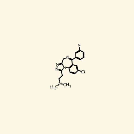 CN(C)CCc1nnc2n1-c1ccc(Cl)cc1C(c1cccc(F)c1)=NC2